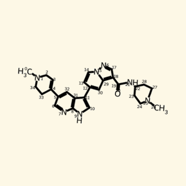 CN1CC=C(c2cnc3[nH]cc(-c4ccn5ncc(C(=O)NC6CCN(C)CC6)c5c4)c3c2)CC1